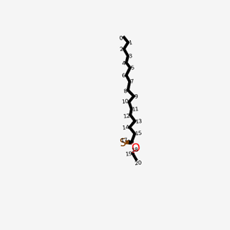 CCCCCCCCCCCCCCCCC(=S)OCC